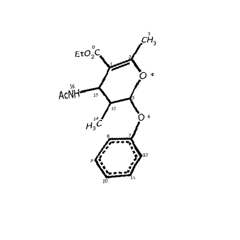 CCOC(=O)C1=C(C)OC(Oc2ccccc2)C(C)C1NC(C)=O